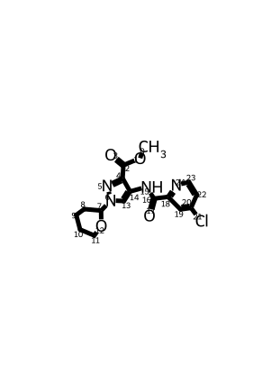 COC(=O)c1nn(C2CCCCO2)cc1NC(=O)c1cc(Cl)ccn1